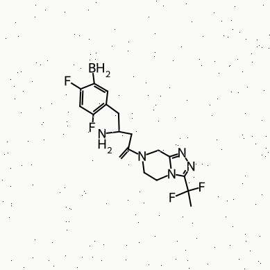 Bc1cc(CC(N)CC(=C)N2CCn3c(nnc3C(C)(F)F)C2)c(F)cc1F